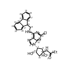 CCC(=O)N[C@@]1(O)C[C@@H](n2cnc3c(NCC4c5ccccc5-c5ccccc54)nc(Cl)nc32)[C@@H](O)C1